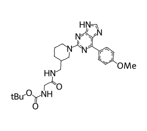 COc1ccc(-c2nc(N3CCCC(CNC(=O)CNC(=O)OC(C)(C)C)C3)nc3[nH]cnc23)cc1